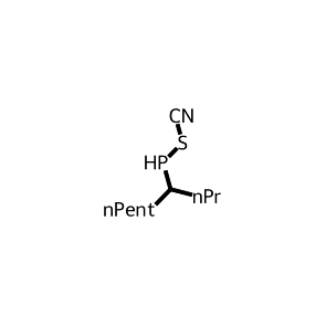 CCCCCC(CCC)PSC#N